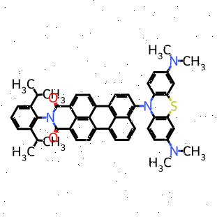 CC(C)c1cccc(C(C)C)c1N1C(=O)c2ccc3c4cccc5c(N6c7ccc(N(C)C)cc7Sc7cc(N(C)C)ccc76)ccc(c6ccc(c2c36)C1=O)c54